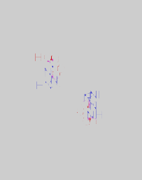 COC(=O)N[C@H](C(=O)N1CCC[C@H]1c1nc(C2CCC(C3CCC(c4c[nH]c([C@@H]5CCCN5C(=O)[C@H]([C@@H](C)OC)N(C)C(=O)O)n4)CC3)CC2)c[nH]1)C(C)OC